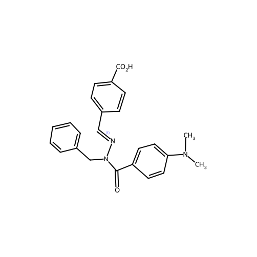 CN(C)c1ccc(C(=O)N(Cc2ccccc2)/N=C/c2ccc(C(=O)O)cc2)cc1